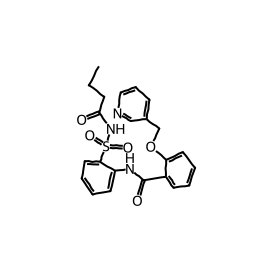 CCCC(=O)NS(=O)(=O)c1ccccc1NC(=O)c1ccccc1OCc1cccnc1